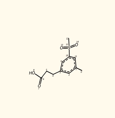 Cc1cc(CCC(=O)O)cc(S(C)(=O)=O)c1